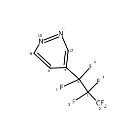 FC(F)(F)C(F)(F)C(F)(F)c1[c]cnnc1